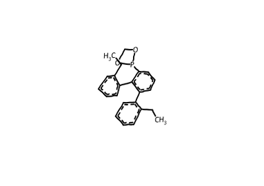 CCc1ccccc1-c1cccc(P2OCO2)c1-c1ccccc1CC